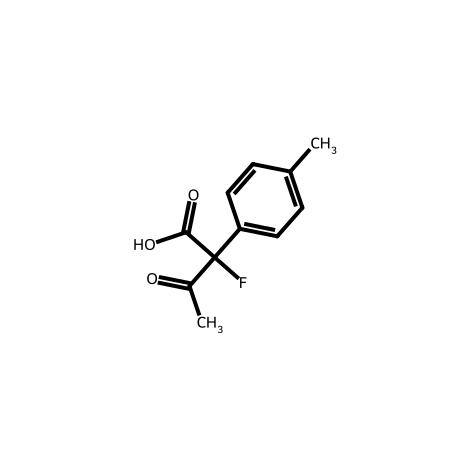 CC(=O)C(F)(C(=O)O)c1ccc(C)cc1